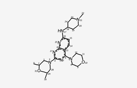 CC1CN(c2nc(N3CCOCC3)c3ccc(NC4CCN(C)CC4)nc3n2)CC(C)O1